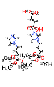 CCO[Si](CCCN1C=NCC1)(OCC)OCC.CCO[Si](CCCN1C=NCC1)(OCC)OCC.O=C(O)C=CC(=O)O